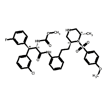 COC(=O)N[C@H](C(=O)Nc1ccccc1CC[C@H]1CNC[C@H](C)N1S(=O)(=O)c1ccc(OC)cc1)[C@H](c1cccc(F)c1)c1cccc(Cl)c1